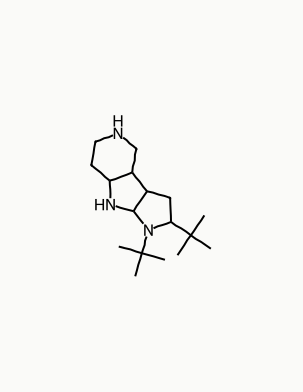 CC(C)(C)C1CC2C3CNCCC3NC2N1C(C)(C)C